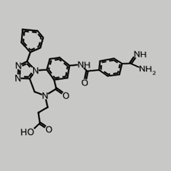 N=C(N)c1ccc(C(=O)Nc2ccc3c(c2)C(=O)N(CCC(=O)O)Cc2nnc(-c4ccccc4)n2-3)cc1